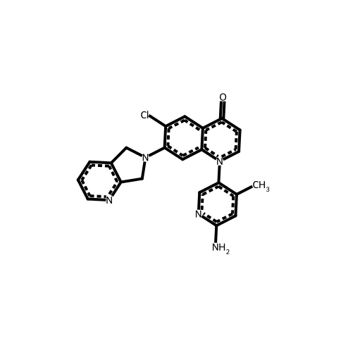 Cc1cc(N)ncc1-n1ccc(=O)c2cc(Cl)c(N3Cc4cccnc4C3)cc21